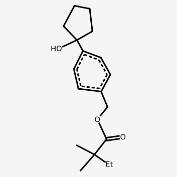 CCC(C)(C)C(=O)OCc1ccc(C2(O)CCCC2)cc1